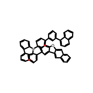 c1ccc(-c2ccccc2N(c2ccc(-c3cccc(-c4cccc5ccccc45)c3)cc2)c2ccccc2-c2ccc3oc4cc5ccccc5cc4c3c2)cc1